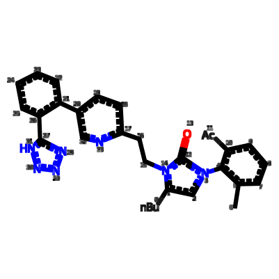 CCCCc1cn(-c2c(C)cccc2C(C)=O)c(=O)n1CCc1ccc(-c2ccccc2-c2nnn[nH]2)cn1